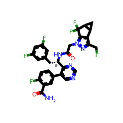 NC(=O)c1cc(-c2cncnc2[C@H](Cc2cc(F)cc(F)c2)NC(=O)Cn2nc(CF)c3c2C(F)(F)C2CC32)ccc1F